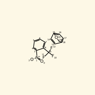 O=[N+]([O-])c1ccccc1C(F)(F)F.c1cc2ccc1CO2